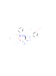 CN(c1ccccc1CNc1nc(-c2cc(F)cc(O)c2CC(F)(F)F)nc2[nH]nc(C(N)=O)c12)S(C)(=O)=O